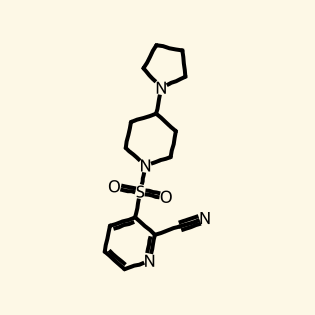 N#Cc1ncccc1S(=O)(=O)N1CCC(N2CCCC2)CC1